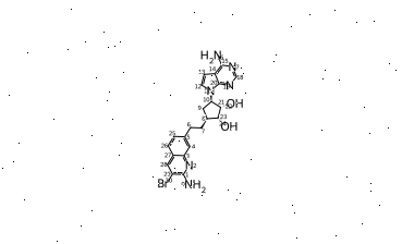 Nc1nc2cc(CC[C@H]3C[C@@H](n4ccc5c(N)ncnc54)[C@H](O)[C@@H]3O)ccc2cc1Br